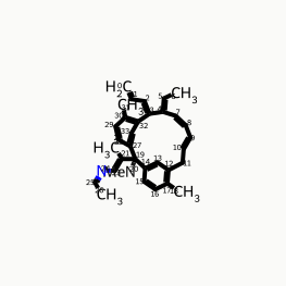 C=C/C=C1C(=C/C)/C=C\C=C\Cc2cc(ccc2C)C(NC)(/C(C)=C/N=C\C)c2ccc(C)c/1c2